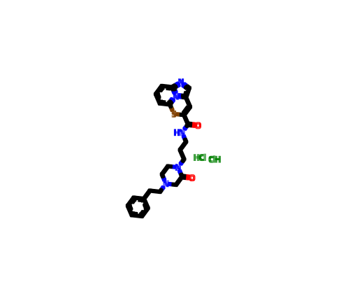 Cl.Cl.O=C(NCCCN1CCN(CCc2ccccc2)CC1=O)C1=Cc2cnc3cccc(n23)S1